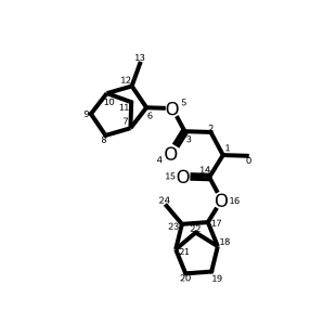 CC(CC(=O)OC1C2CCC(C2)C1C)C(=O)OC1C2CCC(C2)C1C